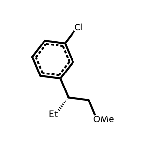 CC[C@@H](COC)c1cccc(Cl)c1